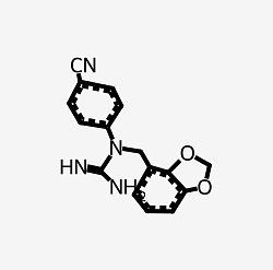 N#Cc1ccc(N(Cc2cccc3c2OCO3)C(=N)N)cc1